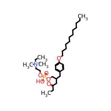 CCCCCCCCCCCCOc1ccc(CC(COP(=O)(O)OCC[N+](C)(C)CC)CC(=O)CC)cc1